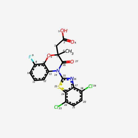 CC1(CC(=O)O)Oc2c(F)cccc2N(c2nc3c(Cl)ccc(Cl)c3s2)C1=O